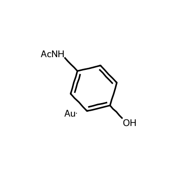 CC(=O)Nc1ccc(O)cc1.[Au]